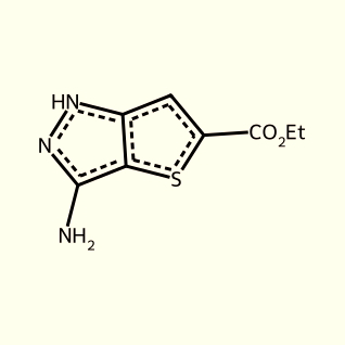 CCOC(=O)c1cc2[nH]nc(N)c2s1